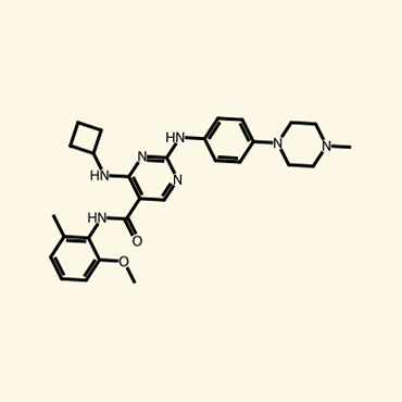 COc1cccc(C)c1NC(=O)c1cnc(Nc2ccc(N3CCN(C)CC3)cc2)nc1NC1CCC1